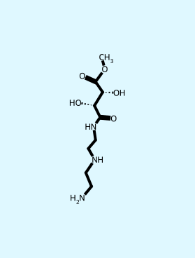 COC(=O)[C@H](O)[C@@H](O)C(=O)NCCNCCN